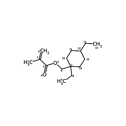 C=C(C)C(=O)OCC1(CC)CCC(CC)CC1